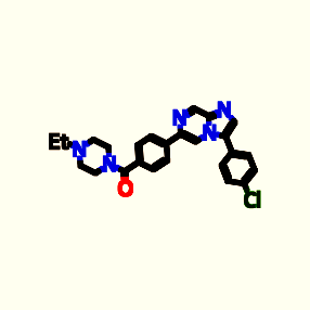 CCN1CCN(C(=O)c2ccc(-c3cn4c(-c5ccc(Cl)cc5)cnc4cn3)cc2)CC1